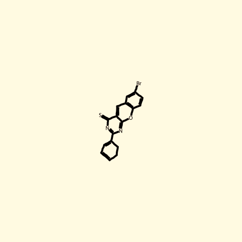 S=c1nc(C2=CC=CCC2)nc2oc3ccc(Br)cc3cc1-2